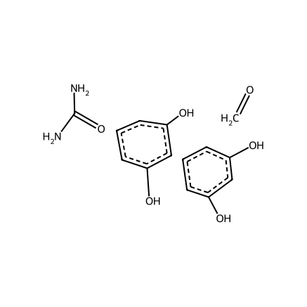 C=O.NC(N)=O.Oc1cccc(O)c1.Oc1cccc(O)c1